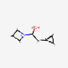 OC(CC1CC1)N1CCC1